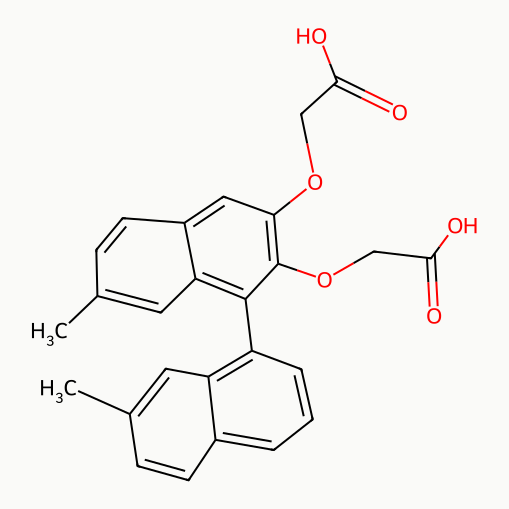 Cc1ccc2cccc(-c3c(OCC(=O)O)c(OCC(=O)O)cc4ccc(C)cc34)c2c1